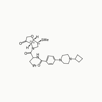 CS[C@H]1CN(C(=O)C(CC(C)C)NC(=O)c2ccc(N3CCN(C4CCC4)CC3)cc2)[C@@H]2C(=O)CO[C@H]12